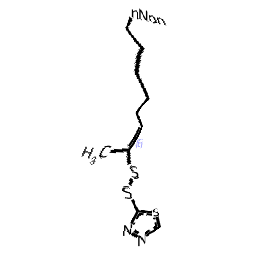 CCCCCCCCCCCCCC/C=C(\C)SSc1nncs1